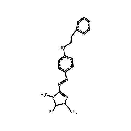 CN1N=C(N=Nc2ccc(NCCc3ccccc3)cc2)N(C)C1Br